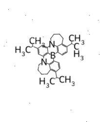 CC(C)c1cc2c3c(c1)N1CCCCc4c(C(C)C)ccc(c41)B3c1ccc(C(C)C)c3c1N2CCCC3